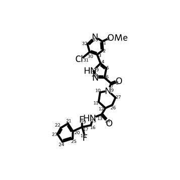 COc1cc(-c2cc(C(=O)N3CCC(C(=O)NCC(F)(F)c4ccccc4)CC3)n[nH]2)c(Cl)cn1